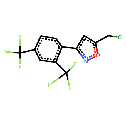 FC(F)(F)c1ccc(-c2cc(CCl)on2)c(C(F)(F)F)c1